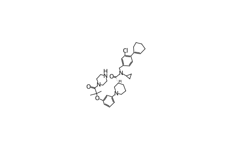 CC(C)(Oc1cccc(N2CCC[C@@H](C(=O)N(Cc3ccc(C4=CCCCC4)c(Cl)c3)C3CC3)C2)c1)C(=O)N1CCNCC1